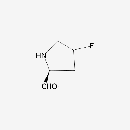 O=[C][C@@H]1CC(F)CN1